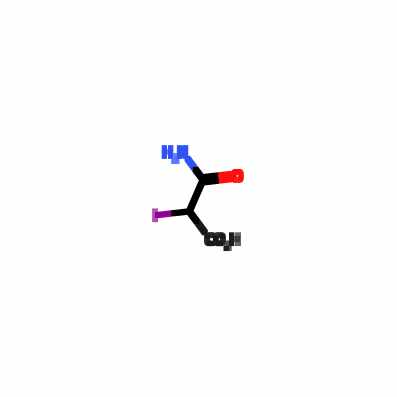 NC(=O)C(I)C(=O)O